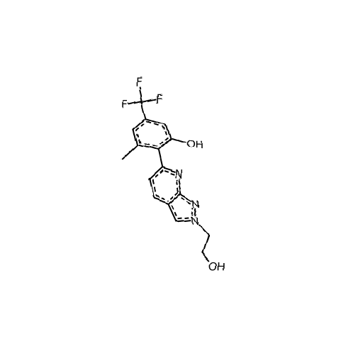 Cc1cc(C(F)(F)F)cc(O)c1-c1ccc2cn(CCO)nc2n1